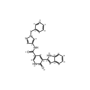 O=C(Nc1cnn(Cc2cccnc2)c1)c1c[nH]c(=O)c(-c2cc3ccccc3[nH]2)c1